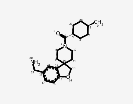 C[C@H]1CC[C@H](C(=O)N2CCC3(CC2)COc2ccc(CN)cc23)CC1